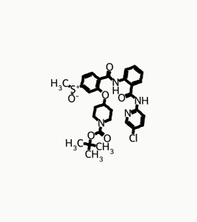 C[S+]([O-])c1ccc(C(=O)Nc2ccccc2C(=O)Nc2ccc(Cl)cn2)c(OC2CCN(C(=O)OC(C)(C)C)CC2)c1